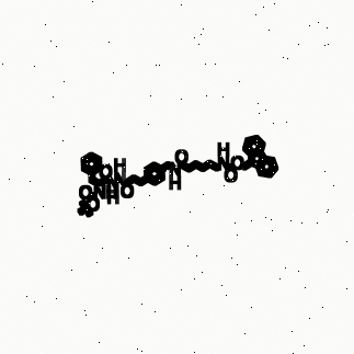 CC(C)(C)OC(=O)NC(Cc1ccccc1)C(=O)NNC(=O)CCc1ccc(CNC(=O)CCCCCNC(=O)OCC2c3ccccc3-c3ccccc32)cc1